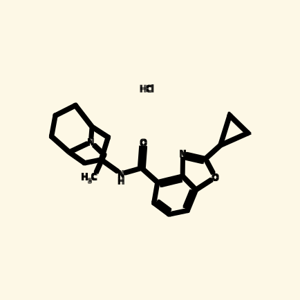 CCN1C2CCCC1CC(NC(=O)c1cccc3oc(C4CC4)nc13)C2.Cl